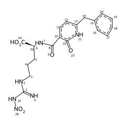 N=C(NCCC[C@H](NC(=O)c1ccc(Cc2ccccc2)[nH]c1=O)C(=O)O)N[N+](=O)[O-]